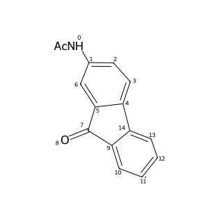 CC(=O)Nc1ccc2c(c1)C(=O)c1c[c]ccc1-2